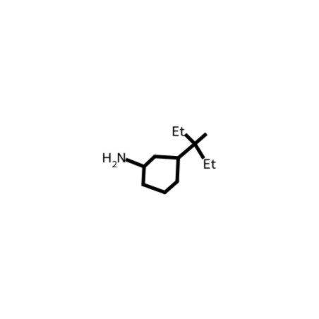 CCC(C)(CC)C1CCCC(N)C1